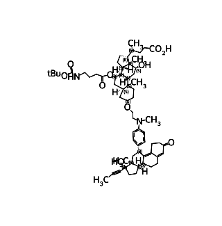 CC#C[C@@]1(O)CC[C@H]2[C@@H]3CCC4=CC(=O)CCC4=C3[C@@H](c3ccc(N(C)CCO[C@H]4CC[C@@]5(C)[C@@H](C4)C[C@@H](OC(=O)CCCNC(=O)OC(C)(C)C)[C@@H]4[C@@H]5C[C@H](O)[C@]5(C)[C@@H]([C@H](C)CCC(=O)O)CC[C@@H]45)cc3)C[C@@]21C